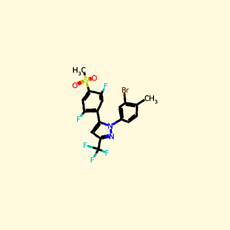 Cc1ccc(-n2nc(C(F)(F)F)cc2-c2cc(F)c(S(C)(=O)=O)cc2F)cc1Br